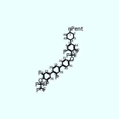 CCCCCC1CCC(c2cc(F)c(C(F)(F)Oc3ccc(-c4ccc(-c5cc(F)c(OC(F)(F)C(F)F)c(F)c5)c(F)c4)cc3)c(F)c2)CC1